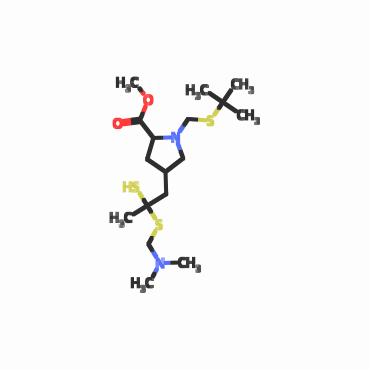 COC(=O)C1CC(CC(C)(S)SCN(C)C)CN1CSC(C)(C)C